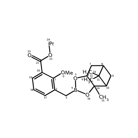 COc1c(CB2OC3CC4CC(C4(C)C)C3(C)O2)cccc1C(=O)OC(C)C